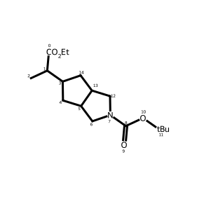 CCOC(=O)C(C)C1CC2CN(C(=O)OC(C)(C)C)CC2C1